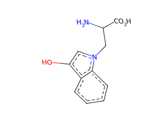 NC(Cn1cc(O)c2ccccc21)C(=O)O